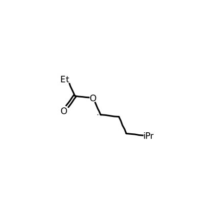 CCC(=O)O[CH]CCC(C)C